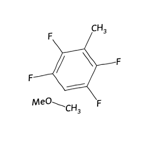 COC.Cc1c(F)c(F)cc(F)c1F